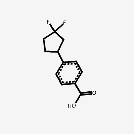 O=C(O)c1ccc(C2CCC(F)(F)C2)cc1